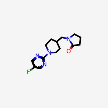 O=C1CCCN1CC1CCN(c2ncc(F)cn2)CC1